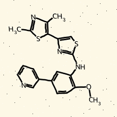 COc1ccc(-c2cccnc2)cc1Nc1nc(-c2sc(C)nc2C)cs1